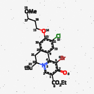 CCOC(=O)c1cn2c(c(Br)c1=O)-c1cc(Cl)c(OCCCOC)cc1CC2C(C)(C)C